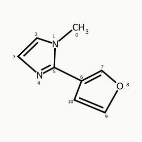 Cn1ccnc1-c1[c]occ1